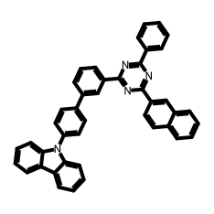 c1ccc(-c2nc(-c3cccc(-c4ccc(-n5c6ccccc6c6ccccc65)cc4)c3)nc(-c3ccc4ccccc4c3)n2)cc1